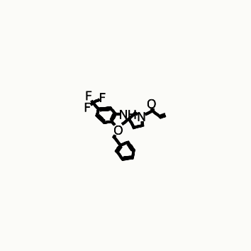 C=CC(=O)N1CCC(C)(Nc2cc(C(F)(F)F)ccc2OCc2ccccc2)C1